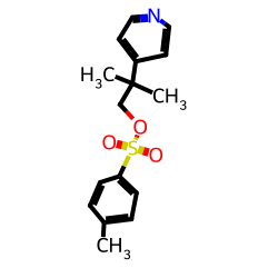 Cc1ccc(S(=O)(=O)OCC(C)(C)c2ccncc2)cc1